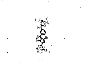 CC(C)(C)OC(=O)Nc1cccc(-c2ncnc3c2c(Br)cn3C(=O)OC(C)(C)C)c1